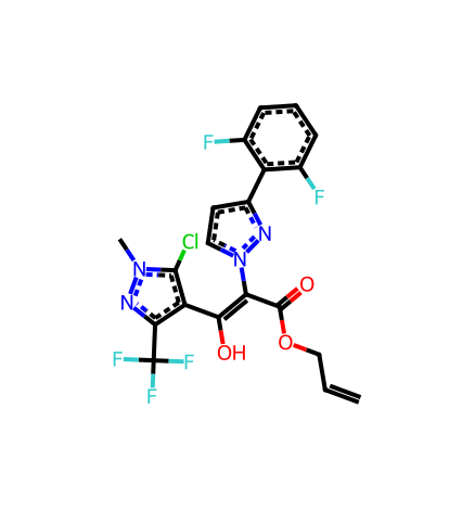 C=CCOC(=O)C(=C(O)c1c(C(F)(F)F)nn(C)c1Cl)n1ccc(-c2c(F)cccc2F)n1